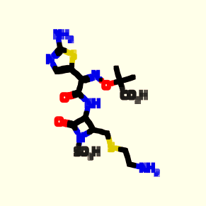 CC(C)(ON=C(C(=O)NC1C(=O)N(S(=O)(=O)O)C1CSCCN)c1cnc(N)s1)C(=O)O